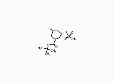 CC(C)(C)OC(=O)N1C[C@@H](F)C[C@H](OS(C)(=O)=O)C1